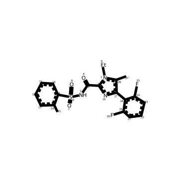 CCn1c(C(=O)NS(=O)(=O)c2ccccc2C)nc(-c2c(F)cccc2F)c1C